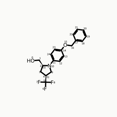 OC[C@@H]1C[C@H](C(F)(F)F)CN1c1ccc(OCc2ccccc2)cc1